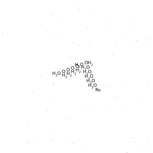 O.O.O.O.O.O.O.O.O.O.O.O.[Ru]